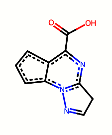 O=C(O)c1nc2n(c3cccc1-3)N=CC2